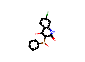 O=c1[nH]c2cc(Cl)ccc2c(O)c1[S+]([O-])c1ccccc1